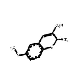 O=C(O)C1=Cc2cc(SC(F)(F)F)ccc2S[C@@H]1C(F)(F)F